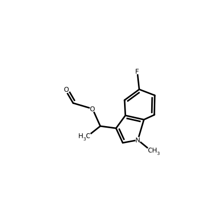 CC(OC=O)c1cn(C)c2ccc(F)cc12